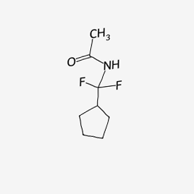 CC(=O)NC(F)(F)C1CCCC1